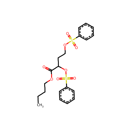 CCCCOC(=O)C(CCOS(=O)(=O)c1ccccc1)OS(=O)(=O)c1ccccc1